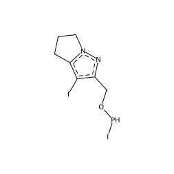 IPOCc1nn2c(c1I)CCC2